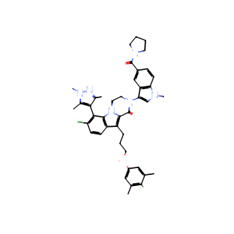 Cc1cc(OCCCc2c3n(c4c(-c5c(C)nn(C)c5C)c(Cl)ccc24)[C@H](C)CN(c2cn(C)c4ccc(C(=O)N5CCCC5)cc24)C3=O)cc(C)c1Cl